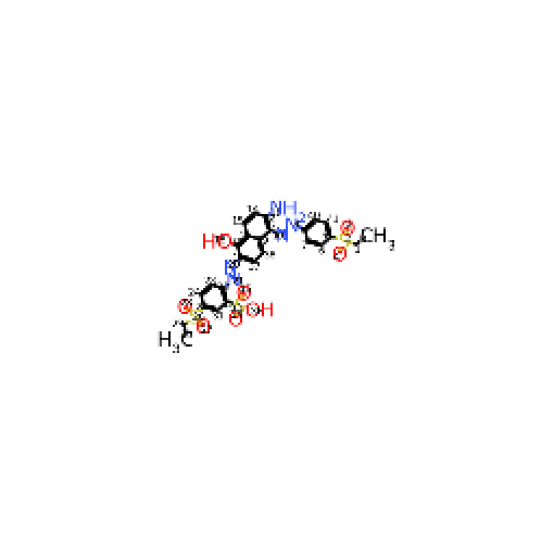 CCS(=O)(=O)c1ccc(/N=N/c2c(N)ccc3c(O)c(/N=N/c4ccc(S(=O)(=O)CC)cc4S(=O)(=O)O)ccc23)cc1